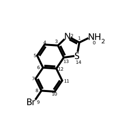 Nc1nc2ccc3cc(Br)ccc3c2s1